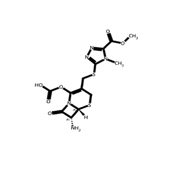 COC(=O)c1nnc(SCC2=C(OC(=O)O)N3C(=O)[C@@H](N)[C@H]3SC2)n1C